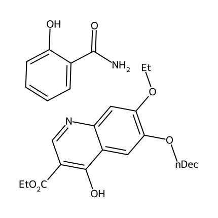 CCCCCCCCCCOc1cc2c(O)c(C(=O)OCC)cnc2cc1OCC.NC(=O)c1ccccc1O